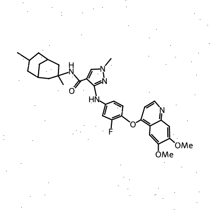 COc1cc2nccc(Oc3ccc(Nc4nn(C)cc4C(=O)NC4(C)CC5CC(C)CC(C5)C4)cc3F)c2cc1OC